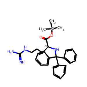 C[Si](C)(C)OC(=O)[C@H](CCCNC(=N)N)NC(c1ccccc1)(c1ccccc1)c1ccccc1